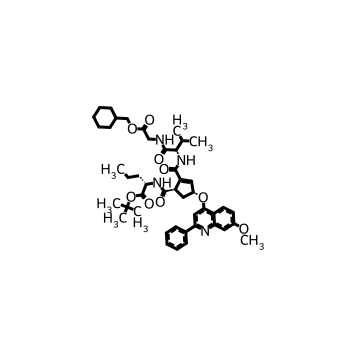 CCC[C@H](NC(=O)[C@@H]1C[C@@H](Oc2cc(-c3ccccc3)nc3cc(OC)ccc23)C=C1C(=O)N[C@H](C(=O)NCC(=O)OCC1CCCCC1)C(C)C)C(=O)OC(C)(C)C